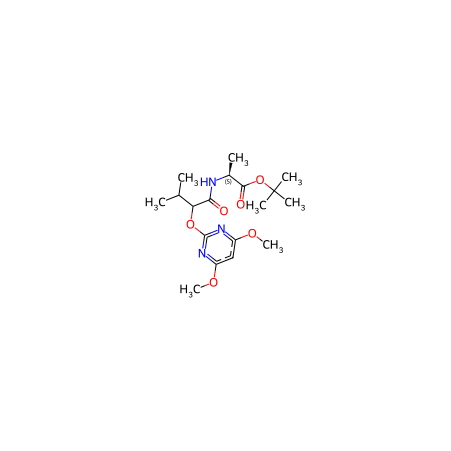 COc1cc(OC)nc(OC(C(=O)N[C@@H](C)C(=O)OC(C)(C)C)C(C)C)n1